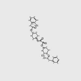 CCOC(Cc1ccccc1)OC1CCN(OC(=O)C(=O)ON2CCC(OC(Cc3ccccc3)OCC)CC2)CC1